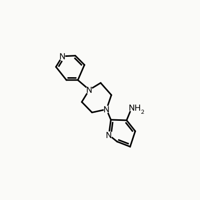 Nc1cccnc1N1CCN(c2ccncc2)CC1